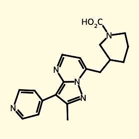 Cc1nn2c(CC3CCCN(C(=O)O)C3)ccnc2c1-c1ccncc1